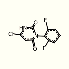 O=c1cc(Cl)[nH]c(=O)n1-c1c(F)cccc1F